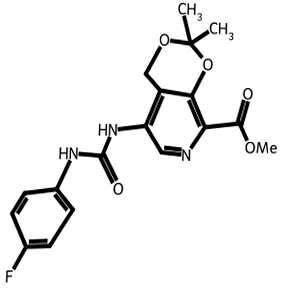 COC(=O)c1ncc(NC(=O)Nc2ccc(F)cc2)c2c1OC(C)(C)OC2